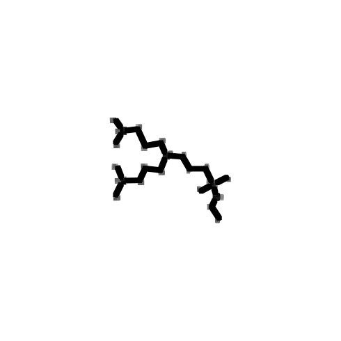 CCO[Si](C)(C)CCCN(CCCN(C)C)CCCN(C)C